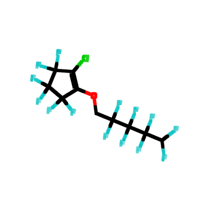 FC(F)C(F)(F)C(F)(F)C(F)(F)COC1=C(Cl)C(F)(F)C(F)(F)C1(F)F